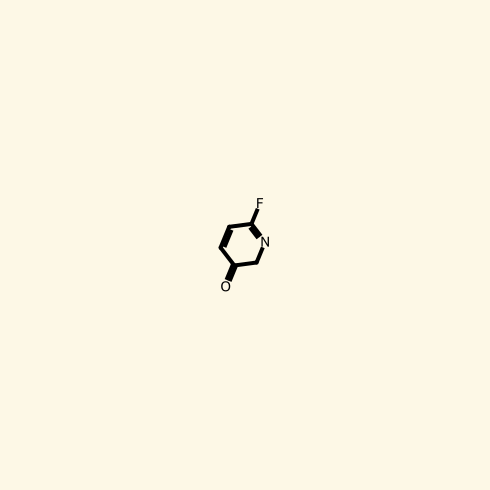 O=C1C=CC(F)=NC1